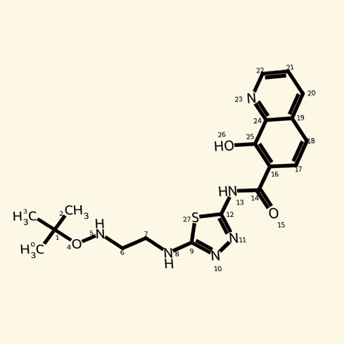 CC(C)(C)ONCCNc1nnc(NC(=O)c2ccc3cccnc3c2O)s1